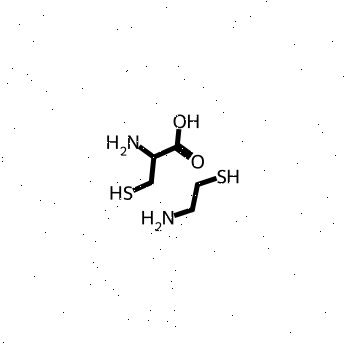 NC(CS)C(=O)O.NCCS